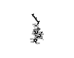 CC(=O)N[C@H]1C(N)[C@H](O)C(CO[C@@H]2CC(CO)[C@@H](O)C(O)[C@@H]2O)O[C@H]1OC1[C@H](OP(=O)(O)OC[C@@H](OC/C=C(/C)CC/C=C(\C)CCC=C(C)C)C(=O)O)OC(C(N)=O)C(O)[C@@H]1OC(N)=O